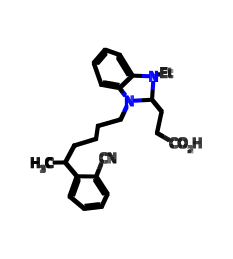 CCN1c2ccccc2N(CCCCC(C)c2ccccc2C#N)C1CCC(=O)O